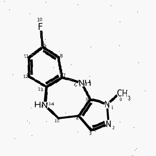 Cn1ncc2c1Nc1cc(F)ccc1NC2